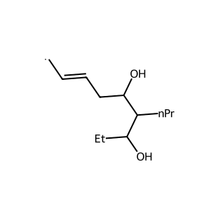 [CH2]C=CCC(O)C(CCC)C(O)CC